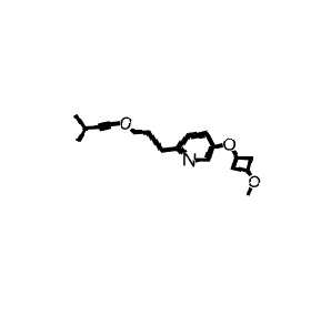 COC1CC(Oc2ccc(CCCOC#CC(C)C)nc2)C1